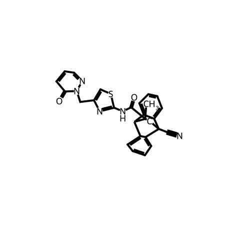 CC1(C(=O)Nc2nc(Cn3ncccc3=O)cs2)CC2(C#N)c3ccccc3C1c1ccccc12